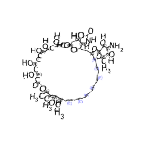 C[C@@H]1[C@H](O)[C@@H](C)/C=C/C=C/C=C/C=C/C=C/C=C/C=C/[C@H](O[C@@H]2O[C@H](C)[C@@H](O)[C@H](N)[C@@H]2O)CC2O[C@](O)(C[C@@H](O)C[C@@H](O)[C@H](O)CC[C@@H](O)C[C@@H](O)CC(=O)O[C@H]1C)C[C@@H]1OC(=O)N[C@@H]21